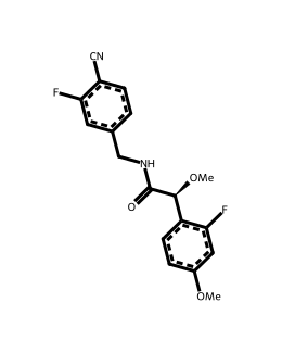 COc1ccc([C@H](OC)C(=O)NCc2ccc(C#N)c(F)c2)c(F)c1